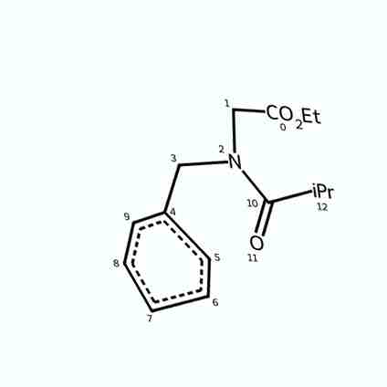 CCOC(=O)CN(Cc1ccccc1)C(=O)C(C)C